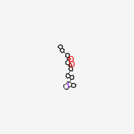 C1=CC2=IC(C=C1)C=C(c1cccc3c(-c4ccc5oc6c(ccc7c8cc(-c9ccc%10ccccc%10c9)ccc8oc76)c5c4)cccc13)c1ccccc12